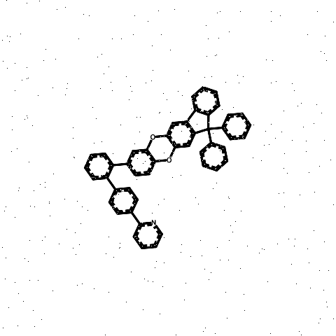 c1ccc(C2(c3ccccc3)c3ccccc3-c3cc4c(cc32)Oc2ccc(-c3ccccc3-c3ccc(-c5ccccn5)cc3)cc2O4)cc1